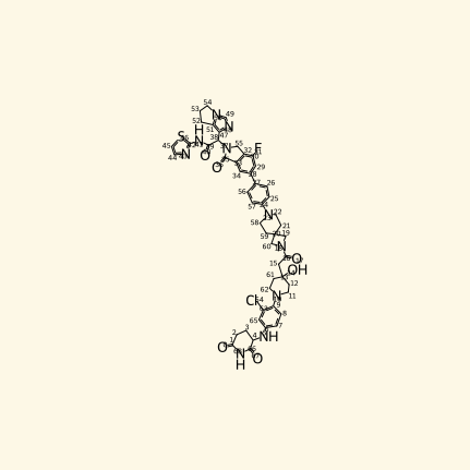 O=C1CCC(Nc2ccc(N3CCC(O)(CC(=O)N4CC5(CCN(c6ccc(-c7cc(F)c8c(c7)C(=O)N(C(C(=O)Nc7nccs7)c7ncn9c7CCC9)C8)cc6)CC5)C4)CC3)c(Cl)c2)C(=O)N1